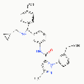 CNCc1cccc(-n2nc(C(F)(F)F)cc2C(=O)Nc2cccc(C(NCC3CC3)c3ccc(OC)cc3)c2)c1